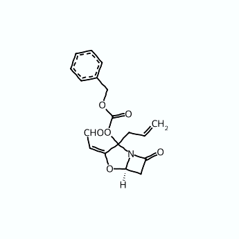 C=CCC1(OC(=O)OCc2ccccc2)C(=CC=O)O[C@@H]2CC(=O)N21